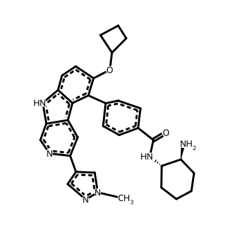 Cn1cc(-c2cc3c(cn2)[nH]c2ccc(OC4CCC4)c(-c4ccc(C(=O)N[C@H]5CCCC[C@@H]5N)cc4)c23)cn1